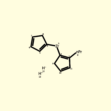 CCCC1=[C]([Zr][C]2=CC=CC2)CC=C1.[H-].[H-]